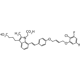 Cc1c(CCCC(=O)O)c2cccc(C=Cc3ccc(OCC=CCOc4cc(F)cc(F)c4Cl)cc3)c2n1CC(=O)O